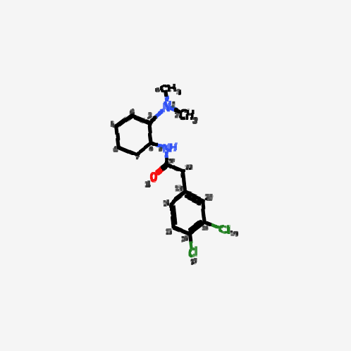 CN(C)C1CCCCC1NC(=O)Cc1ccc(Cl)c(Cl)c1